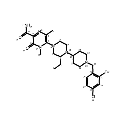 CC[C@H]1CN(c2c(C)nc(C(N)=O)c(=O)n2C)CCN1C1CCN(Cc2ccc(Cl)cc2F)CC1